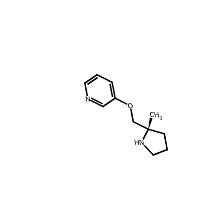 C[C@@]1(COc2cccnc2)CCCN1